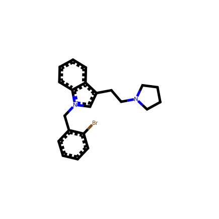 Brc1ccccc1Cn1cc(CCN2CCCC2)c2ccccc21